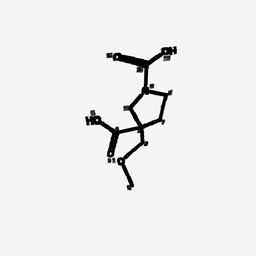 COCC1(C(=O)O)CCN(C(=O)O)C1